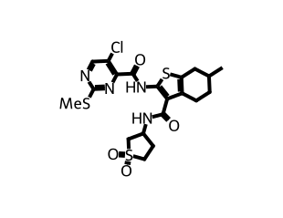 CSc1ncc(Cl)c(C(=O)Nc2sc3c(c2C(=O)NC2CCS(=O)(=O)C2)CCC(C)C3)n1